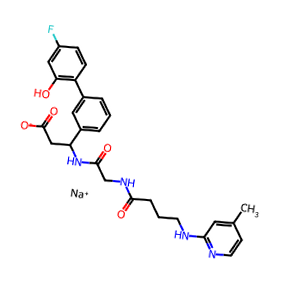 Cc1ccnc(NCCCC(=O)NCC(=O)NC(CC(=O)[O-])c2cccc(-c3ccc(F)cc3O)c2)c1.[Na+]